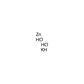 Cl.Cl.[KH].[Zn]